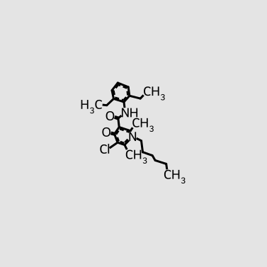 CCCCCCn1c(C)c(Cl)c(=O)c(C(=O)Nc2c(CC)cccc2CC)c1C